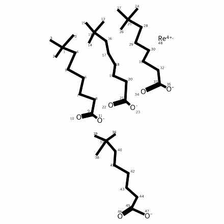 CC(C)(C)CCCCCC(=O)[O-].CC(C)(C)CCCCCC(=O)[O-].CC(C)(C)CCCCCC(=O)[O-].CC(C)(C)CCCCCC(=O)[O-].[Re+4]